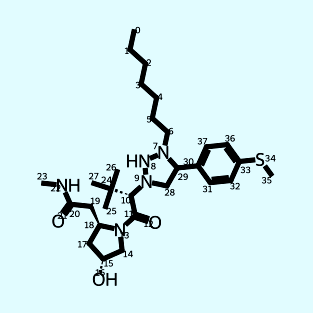 CCCCCCCN1NN([C@H](C(=O)N2C[C@H](O)C[C@H]2CC(=O)NC)C(C)(C)C)CC1c1ccc(SC)cc1